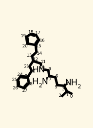 CC(C)C(N)CC[C@H](N)CNCC(CCc1ccccc1)CCc1ccccc1